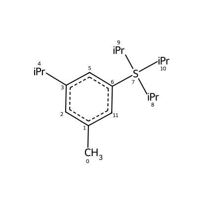 Cc1cc(C(C)C)cc(S(C(C)C)(C(C)C)C(C)C)c1